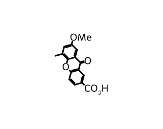 COc1cc(C)c2oc3ccc(C(=O)O)cc3c(=O)c2c1